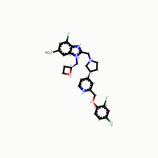 O=C(O)c1cc(F)c2nc(CN3CC[C@@H](c4ccnc(COc5ccc(Cl)cc5F)c4)C3)n(C[C@@H]3CCO3)c2c1